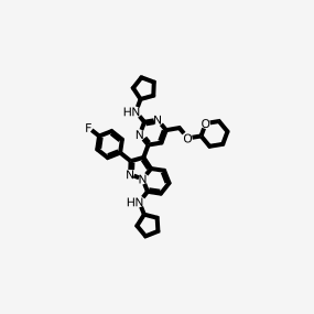 Fc1ccc(-c2nn3c(NC4CCCC4)cccc3c2-c2cc(COC3CCCCO3)nc(NC3CCCC3)n2)cc1